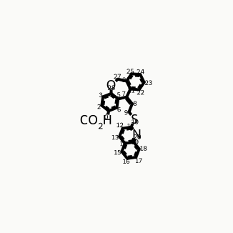 O=C(O)c1ccc2c(c1)C(=CCSc1ccc3ccccc3n1)c1ccccc1CO2